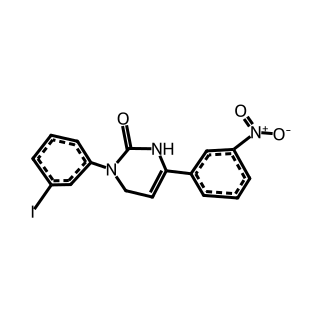 O=C1NC(c2cccc([N+](=O)[O-])c2)=CCN1c1cccc(I)c1